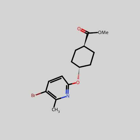 COC(=O)[C@H]1CC[C@H](Oc2ccc(Br)c(C)n2)CC1